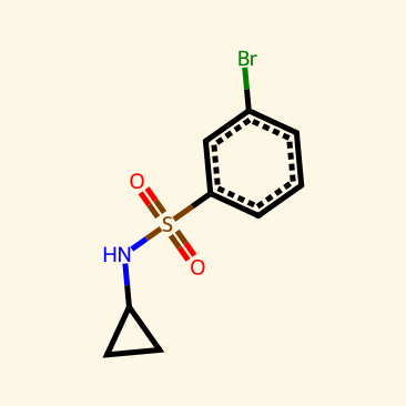 O=S(=O)(NC1CC1)c1cccc(Br)c1